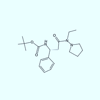 CCN(C(=O)C[C@@H](NC(=O)OC(C)(C)C)c1ccccc1)N1CCCC1